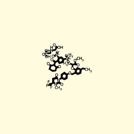 CCc1ccc(COc2ccc(-n3c(=O)cc(C(F)(F)F)n(C)c3=O)cc2)c(OC(C)C(=O)OC)c1.CS(=O)(=O)c1ccc(C(=O)C2C(=O)CCCC2=O)c([N+](=O)[O-])c1.O=C(O)CNCP(=O)(O)O